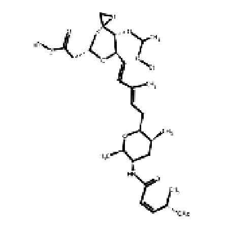 CCCNC(=O)C[C@@H]1C[C@@]2(CO2)[C@H](OC(C)OCC)[C@@H](/C=C/C(C)=C/C[C@@H]2O[C@H](C)[C@H](NC(=O)/C=C\[C@H](C)OC(C)=O)C[C@@H]2C)O1